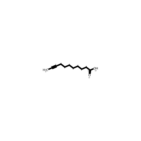 CC#CCCCCCCCC(=O)O